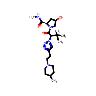 CNC(=O)[C@H]1CC(O)CN1C(=O)C(n1cc(CCN2CCC(C)CC2)nn1)C(C)(C)C